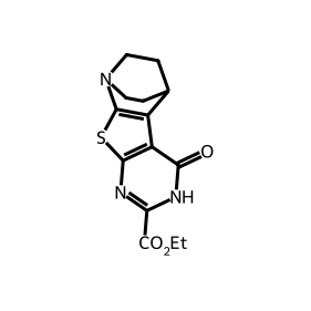 CCOC(=O)c1nc2sc3c(c2c(=O)[nH]1)C1CCN3CC1